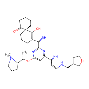 C[C@H](Oc1cc(C(=N)/C=C\NC[C@H]2CCOC2)nc(C(=N)C2=C(O)[C@]3(CCCCC3=O)CCC2)n1)[C@@H]1CCCN1C